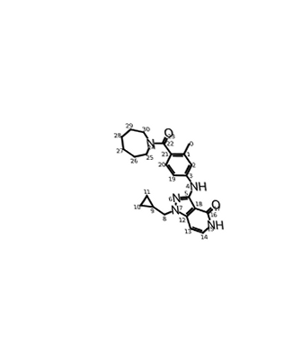 Cc1cc(Nc2nn(CC3CC3)c3cc[nH]c(=O)c23)ccc1C(=O)N1CCCCCC1